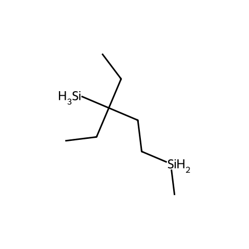 CCC([SiH3])(CC)CC[SiH2]C